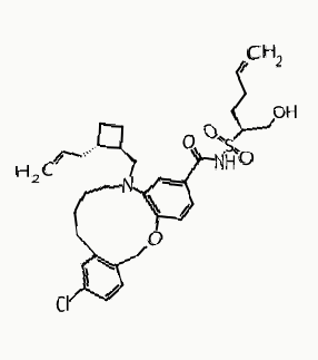 C=CCC[C@@H](CO)S(=O)(=O)NC(=O)c1ccc2c(c1)N(C[C@@H]1CC[C@H]1CC=C)CCCCc1cc(Cl)ccc1CO2